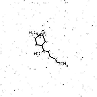 CCCCCC(C)C1CCC2(C)OC2C1